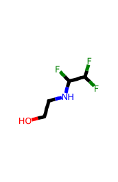 OCCNC(F)C(F)F